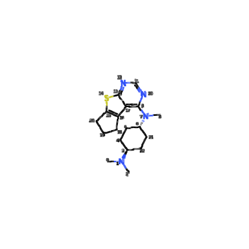 CN(C)[C@H]1CC[C@H](N(C)c2ncnc3sc4c(c23)CCC4)CC1